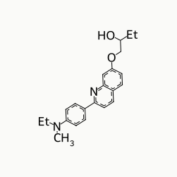 CCC(O)COc1ccc2ccc(-c3ccc(N(C)CC)cc3)nc2c1